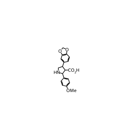 COc1ccc(C2NCC(c3ccc4c(c3)OCO4)C2C(=O)O)cc1